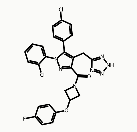 O=C(c1nn(-c2ccccc2Cl)c(-c2ccc(Cl)cc2)c1Cc1nn[nH]n1)N1CC(Oc2ccc(F)cc2)C1